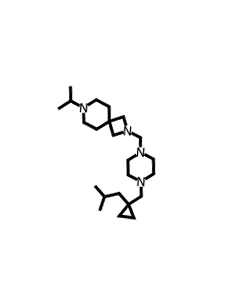 CC(C)CC1(CN2CCN(CN3CC4(CCN(C(C)C)CC4)C3)CC2)CC1